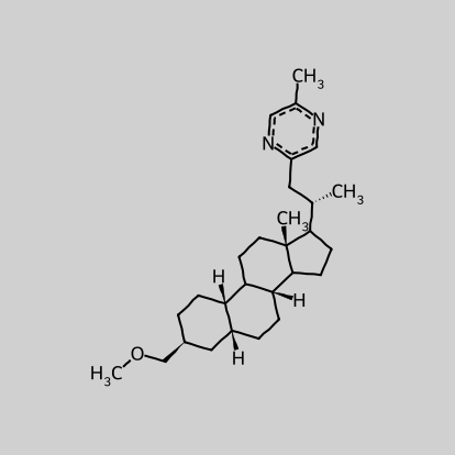 COC[C@H]1CC[C@@H]2C3CC[C@@]4(C)C(CCC4[C@@H](C)Cc4cnc(C)cn4)[C@@H]3CC[C@@H]2C1